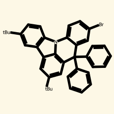 CC(C)(C)c1ccc2c(c1)c1cc(C(C)(C)C)cc3c1n2-c1ccc(Br)cc1C3(c1ccccc1)c1ccccc1